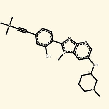 CN1CCC[C@@H](Nc2cnc3nc(-c4ccc(C#C[Si](C)(C)C)cc4O)n(C)c3c2)C1